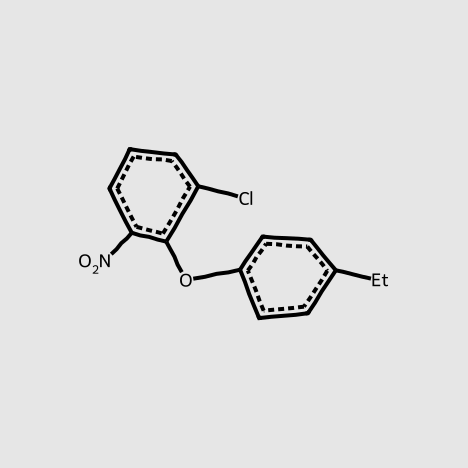 CCc1ccc(Oc2c(Cl)cccc2[N+](=O)[O-])cc1